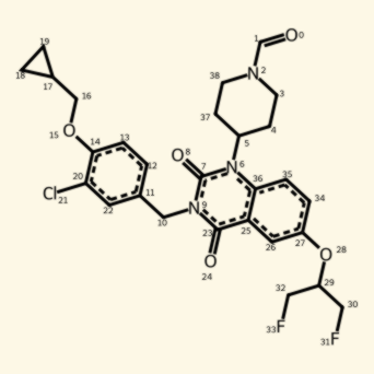 O=CN1CCC(n2c(=O)n(Cc3ccc(OCC4CC4)c(Cl)c3)c(=O)c3cc(OC(CF)CF)ccc32)CC1